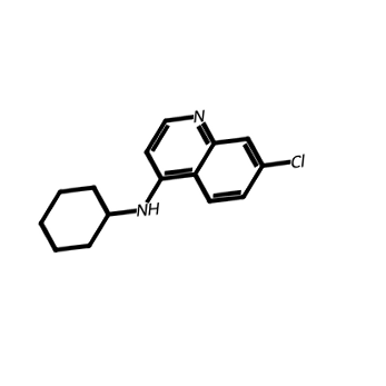 Clc1ccc2c(NC3CCCCC3)ccnc2c1